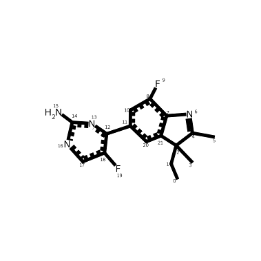 CCC1(C)C(C)=Nc2c(F)cc(-c3nc(N)ncc3F)cc21